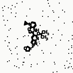 CC(C)Oc1nc2nn(C[C@@H]3CCOC3)cc2cc1C(=O)Nc1cccn(C2CC2)c1=O